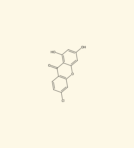 O=c1c2ccc(Cl)cc2oc2cc(O)cc(O)c12